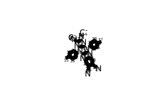 [C-]#[N+]c1nc2c(nc1[N+]#[C-])N(c1ccc(C)cc1)c1nc3cc(C#N)c(C#N)cc3nc1N2c1ccc(C)cc1